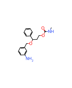 CNC(=O)OCCC(OCc1cccc(N)c1)c1ccccc1